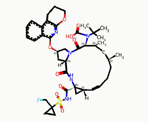 C[C@H]1CCC=C[C@@H]2C[C@@]2(C(=O)NS(=O)(=O)C2(CF)CC2)NC(=O)[C@@H]2C[C@@H](Oc3nc4c(c5ccccc35)CCCO4)CN2C(=O)[C@@H](N(C(=O)O)C(C)(C)C)[C@H](C)C1